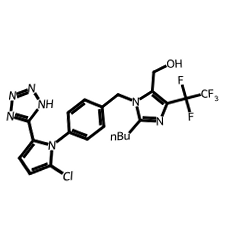 CCCCc1nc(C(F)(F)C(F)(F)F)c(CO)n1Cc1ccc(-n2c(Cl)ccc2-c2nnn[nH]2)cc1